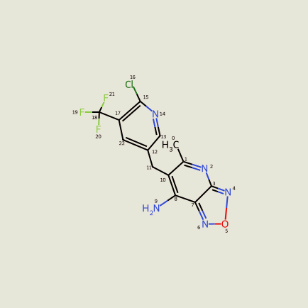 Cc1nc2nonc2c(N)c1Cc1cnc(Cl)c(C(F)(F)F)c1